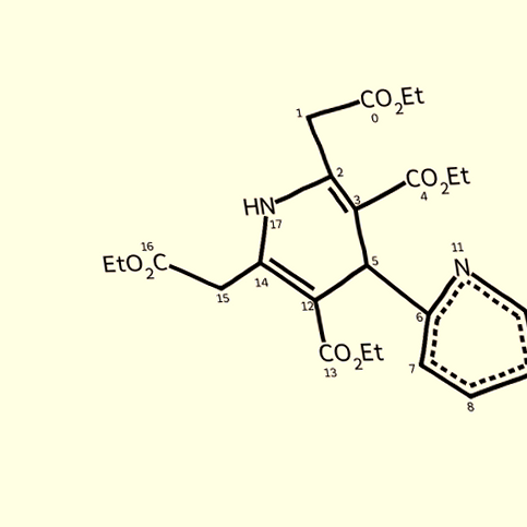 CCOC(=O)CC1=C(C(=O)OCC)C(c2ccccn2)C(C(=O)OCC)=C(CC(=O)OCC)N1